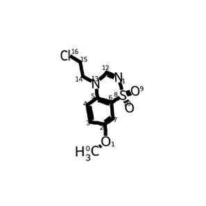 COc1ccc2c(c1)S(=O)(=O)N=CN2CCCl